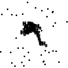 CCCCCCCCCCCCCC1CCC(C2CCC(c3cc(C)c(Oc4ccc(N)cc4)c(C)c3)(c3cc(C)c(Oc4ccc(N)cc4)c(C)c3)CC2)CC1